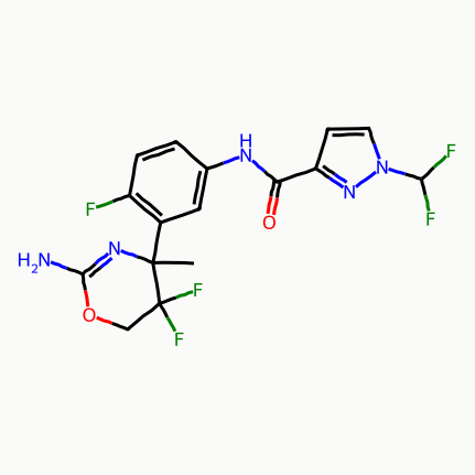 CC1(c2cc(NC(=O)c3ccn(C(F)F)n3)ccc2F)N=C(N)OCC1(F)F